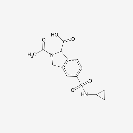 CC(=O)N1Cc2cc(S(=O)(=O)NC3CC3)ccc2C1C(=O)O